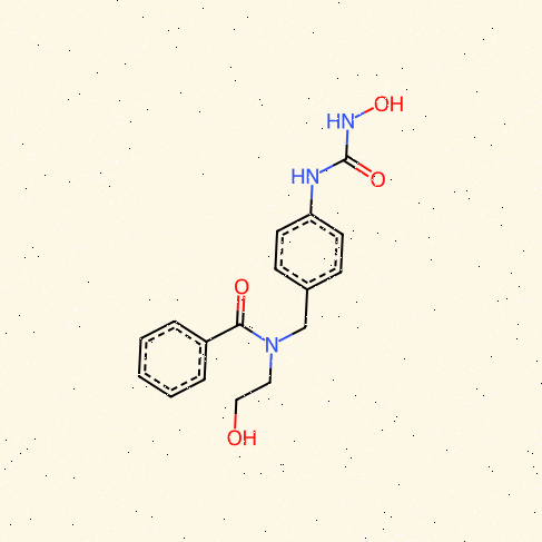 O=C(NO)Nc1ccc(CN(CCO)C(=O)c2ccccc2)cc1